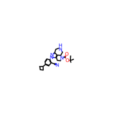 CC(C)(C)OC(=O)N1CCc2c3c(nn2-c2ccc(C4CCC4)cc2C#N)CCNCC31